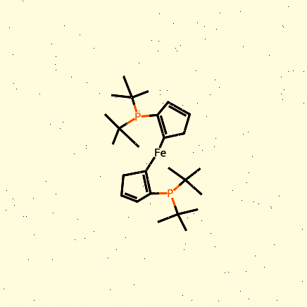 CC(C)(C)P(C1=[C]([Fe][C]2=C(P(C(C)(C)C)C(C)(C)C)C=CC2)CC=C1)C(C)(C)C